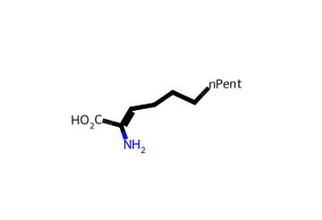 CCCCCCCCC=C(N)C(=O)O